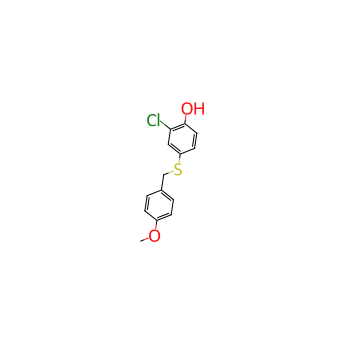 COc1ccc(CSc2ccc(O)c(Cl)c2)cc1